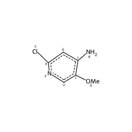 COc1cnc(Cl)cc1N